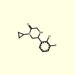 O=C1CNC(c2cccc(F)c2Cl)CN1C1CC1